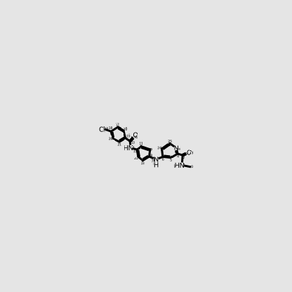 CNC(=O)c1cc(Nc2ccc(NC(=O)c3ccc(Cl)cc3)cc2)ccn1